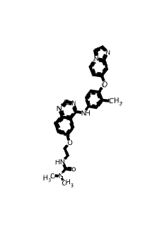 Cc1cc(Nc2ncnc3ccc(OCCNC(=O)N(C)C)cc23)ccc1Oc1ccn2ccnc2c1